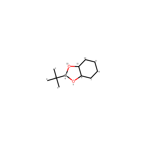 CC(C)(C)B1OC2CCCCC2O1